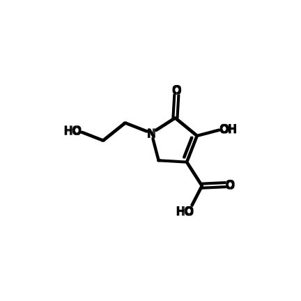 O=C(O)C1=C(O)C(=O)N(CCO)C1